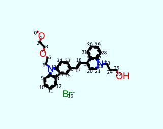 COCCOCCn1c2ccccc2c2cc(/C=C/c3cc[n+](CCCO)c4ccccc34)ccc21.[Br-]